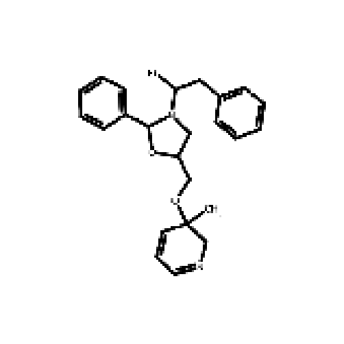 CCC(Cc1ccccc1)N1CC(COC2(C)C=CC=NC2)OC1c1ccccc1